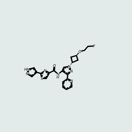 O=C(Nc1cn([C@H]2C[C@H](OCCF)C2)nc1-c1ccccn1)c1csc(-c2cn[nH]c2)n1